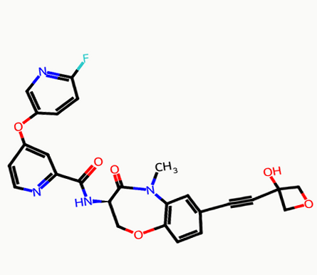 CN1C(=O)[C@H](NC(=O)c2cc(Oc3ccc(F)nc3)ccn2)COc2ccc(C#CC3(O)COC3)cc21